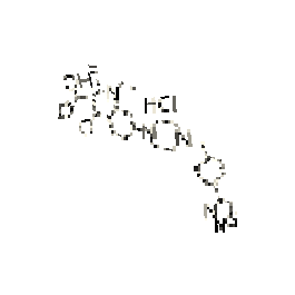 CCn1c(F)c(C(=O)O)c(=O)c2ccc(N3CCN(Cc4ccc(-c5csnn5)cc4)CC3)cc21.Cl